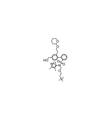 Cc1noc(N(COCC[Si](C)(C)C)S(=O)(=O)c2ccccc2-c2ccc(CO)cc2CCOC2CCCCO2)c1C